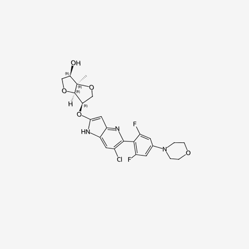 C[C@]12OC[C@@H](Oc3cc4nc(-c5c(F)cc(N6CCOCC6)cc5F)c(Cl)cc4[nH]3)[C@H]1OC[C@H]2O